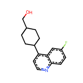 OCC1CCC(c2ccnc3ccc(F)cc23)CC1